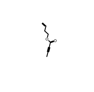 C=CCCOC(=O)C#CC